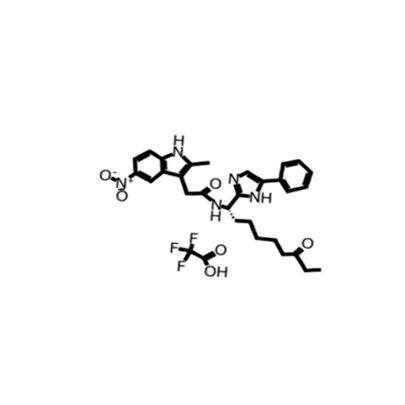 CCC(=O)CCCCC[C@H](NC(=O)Cc1c(C)[nH]c2ccc([N+](=O)[O-])cc12)c1ncc(-c2ccccc2)[nH]1.O=C(O)C(F)(F)F